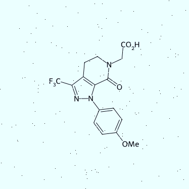 COc1ccc(-n2nc(C(F)(F)F)c3c2C(=O)N(CC(=O)O)CC3)cc1